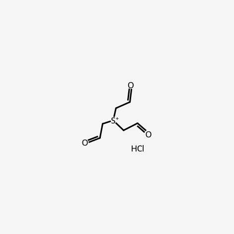 Cl.O=CC[S+](CC=O)CC=O